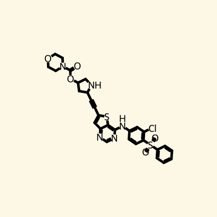 O=C(OC1CNC(C#Cc2cc3ncnc(Nc4ccc(S(=O)(=O)c5ccccc5)c(Cl)c4)c3s2)C1)N1CCOCC1